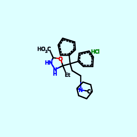 CCC1(C(CCN2CC3CCC2CC3)(c2ccccc2)c2ccccc2)NNC(C(=O)O)O1.Cl